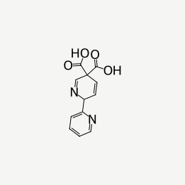 O=C(O)C1(C(=O)O)C=CC(c2ccccn2)N=C1